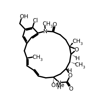 CO[C@]12C/C=C/C=C(\C)Cc3cc(CO)c(Cl)c(c3)N(C)C(=O)CC[C@]3(C)O[C@H]3[C@H](C)[C@H](C1)OC(=O)N2